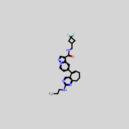 O=C(NCC1CC(F)(F)C1)c1cnn2ccc(C3=CCCCc4nc(NCCC(F)(F)F)ncc43)cc12